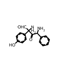 NC(C(=O)C(N)([C]=O)c1ccc(O)cc1)c1ccccc1